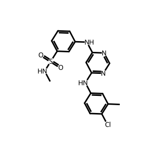 CNS(=O)(=O)c1cccc(Nc2cc(Nc3ccc(Cl)c(C)c3)ncn2)c1